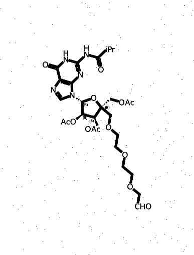 CC(=O)OC[C@@]1(COCCOCCOCC=O)O[C@@H](n2cnc3c(=O)[nH]c(NC(=O)C(C)C)nc32)[C@H](OC(C)=O)[C@@H]1OC(C)=O